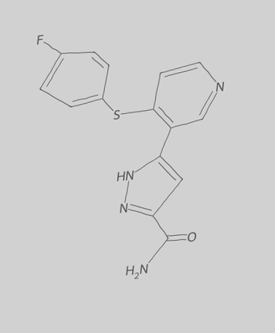 NC(=O)c1cc(-c2cnccc2Sc2ccc(F)cc2)[nH]n1